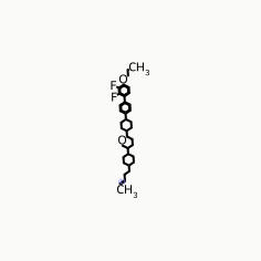 C/C=C/CCC1CCC(C2CCC(C3CCC(c4ccc(-c5ccc(OCCC)c(F)c5F)cc4)CC3)OC2)CC1